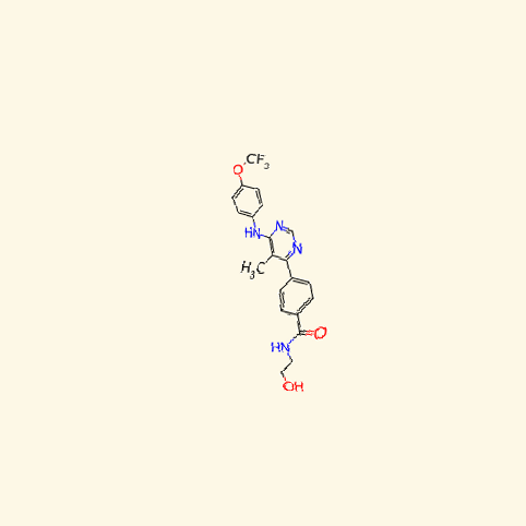 Cc1c(Nc2ccc(OC(F)(F)F)cc2)ncnc1-c1ccc(C(=O)NCCO)cc1